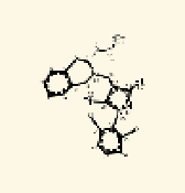 CCOC[C@H]1Cc2ccccc2CN1Cc1c(CC)nn(-c2c(C)cccc2C)c1CC